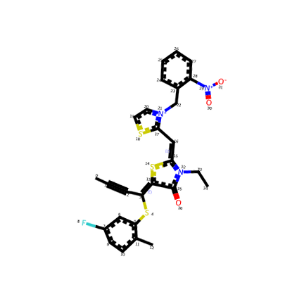 CC#C/C(Sc1cc(F)ccc1C)=c1\s/c(=C\c2scc[n+]2Cc2ccccc2[N+](=O)[O-])n(CC)c1=O